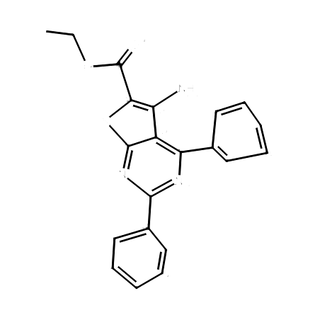 CCOC(=O)c1sc2nc(-c3ccccc3)nc(-c3ccccc3)c2c1N